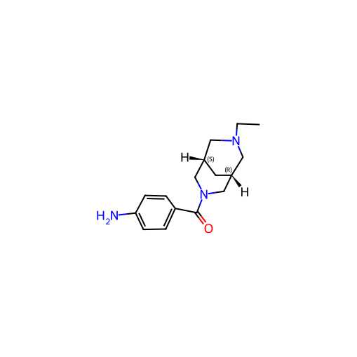 CCN1C[C@H]2C[C@@H](C1)CN(C(=O)c1ccc(N)cc1)C2